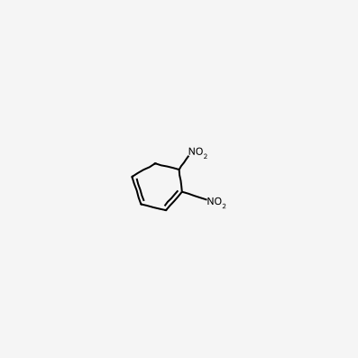 O=[N+]([O-])C1=CC=CCC1[N+](=O)[O-]